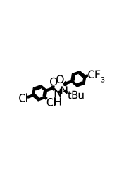 CC(C)(C)N(NC(=O)c1ccc(Cl)cc1Cl)C(=O)c1ccc(C(F)(F)F)cc1